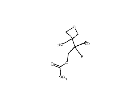 CC(C)(C)C(F)(COC(N)=O)C1(O)COC1